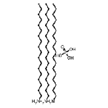 CCCCCCCCCCCCCCCCCCN.CCCCCCCCCCCCCCCCCCN.CCCCCCCCCCCCCCCCCCN.O=P(O)(O)O